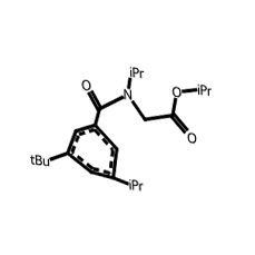 CC(C)OC(=O)CN(C(=O)c1cc(C(C)C)cc(C(C)(C)C)c1)C(C)C